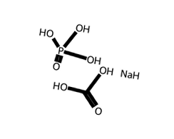 O=C(O)O.O=P(O)(O)O.[NaH]